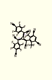 N#CC(=C1C(=C(/C#N)c2c(F)c(F)c(C#N)c(F)c2F)/C1=C(/C#N)c1c(F)c(F)c(C#N)c(F)c1F)c1c(C(F)(F)F)c(C#N)cc(C#N)c1C(F)(F)F